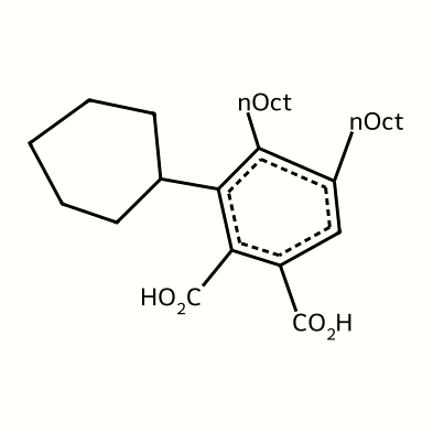 CCCCCCCCc1cc(C(=O)O)c(C(=O)O)c(C2CCCCC2)c1CCCCCCCC